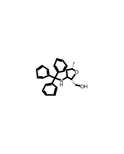 C[C@H]1CC(NC(c2ccccc2)(c2ccccc2)c2ccccc2)[C@@H](CO)O1